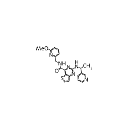 COc1cccc(CNC(=O)c2nc(N[C@@H](C)c3cccnc3)nc3ccsc23)n1